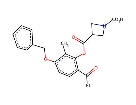 CCC(=O)c1ccc(OCc2ccccc2)c(C)c1OC(=O)C1CN(C(=O)O)C1